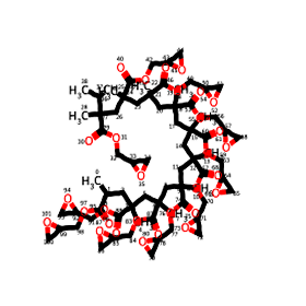 CC(CC(C)(CC(C)(CC(C)(CC(C)(CC(C)(CC(C)(CC(C)(CC(C)(CC(C)(C(=O)OCC1CO1)C(C)C)C(=O)OCC1CO1)C(=O)OCC1CO1)C(=O)OCC1CO1)C(=O)OCC1CO1)C(=O)OCC1CO1)C(=O)OCC1CO1)C(=O)OCC1CO1)C(=O)OCC1CO1)C(=O)OCC1CO1